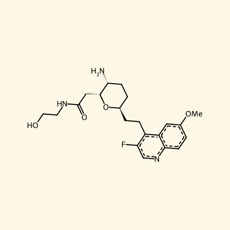 COc1ccc2ncc(F)c(CC[C@@H]3CC[C@@H](N)[C@@H](CC(=O)NCCO)O3)c2c1